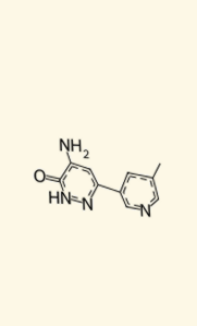 Cc1cncc(-c2cc(N)c(=O)[nH]n2)c1